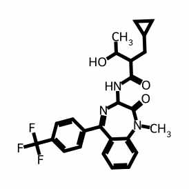 CC(O)C(CC1CC1)C(=O)NC1N=C(c2ccc(C(F)(F)F)cc2)c2ccccc2N(C)C1=O